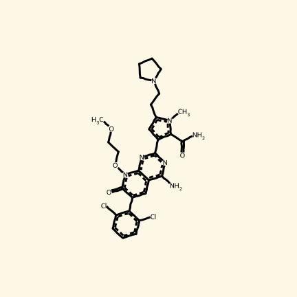 COCCOn1c(=O)c(-c2c(Cl)cccc2Cl)cc2c(N)nc(-c3cc(CCN4CCCC4)n(C)c3C(N)=O)nc21